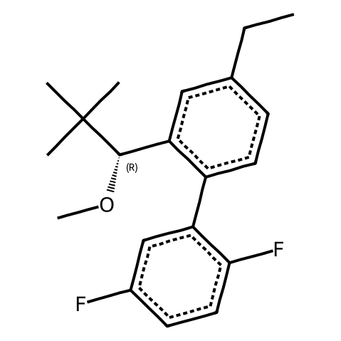 CCc1ccc(-c2cc(F)ccc2F)c([C@H](OC)C(C)(C)C)c1